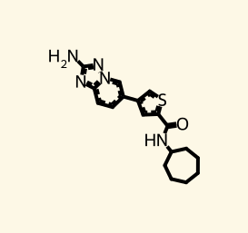 Nc1nc2ccc(-c3csc(C(=O)NC4CCCCCC4)c3)cn2n1